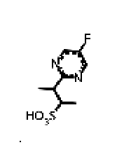 CC(c1ncc(F)cn1)C(C)S(=O)(=O)O